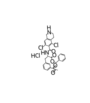 CS(=O)(=O)c1cccc(CC(NC(=O)c2c(Cl)cc3c(c2Cl)CCNC3)C(=O)OCc2ccccc2)c1.Cl